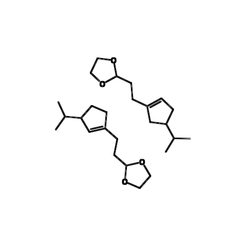 CC(C)C1C=C(CCC2OCCO2)CC1.CC(C)C1CC=C(CCC2OCCO2)C1